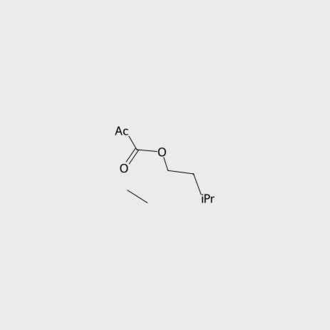 CC.CC(=O)C(=O)OCCC(C)C